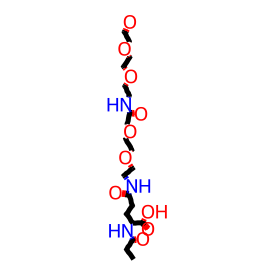 CCC(=O)NC(CCC(=O)NCCOCCOCC(=O)NCCOCCOCC=O)C(=O)O